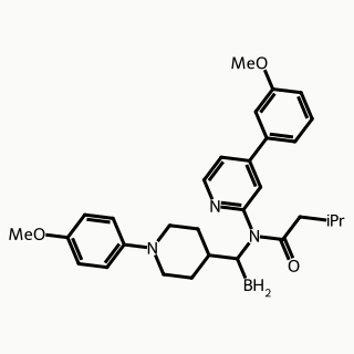 BC(C1CCN(c2ccc(OC)cc2)CC1)N(C(=O)CC(C)C)c1cc(-c2cccc(OC)c2)ccn1